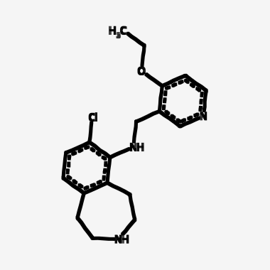 CCOc1ccncc1CNc1c(Cl)ccc2c1CCNCC2